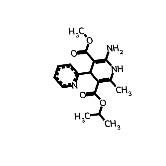 COC(=O)C1=C(N)NC(C)=C(C(=O)OC(C)C)C1c1ccccn1